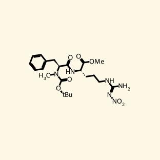 COC(=O)[C@H](CCCNC(N)=N[N+](=O)[O-])NC(=O)[C@H](Cc1ccccc1)N(C)C(=O)OC(C)(C)C